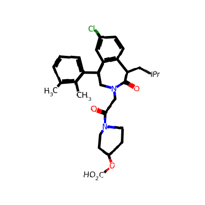 Cc1cccc(C2CN(CC(=O)N3CCC(OC(=O)O)CC3)C(=O)C(CC(C)C)c3ccc(Cl)cc32)c1C